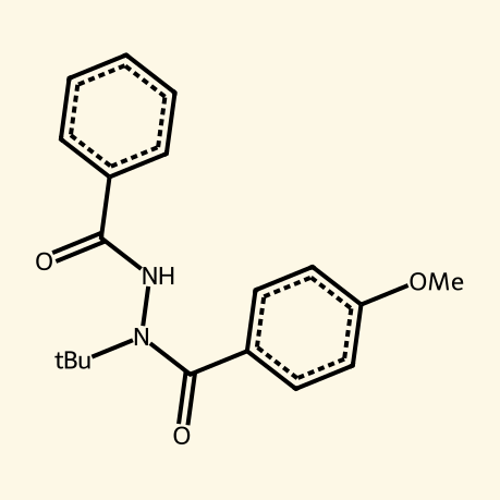 COc1ccc(C(=O)N(NC(=O)c2ccccc2)C(C)(C)C)cc1